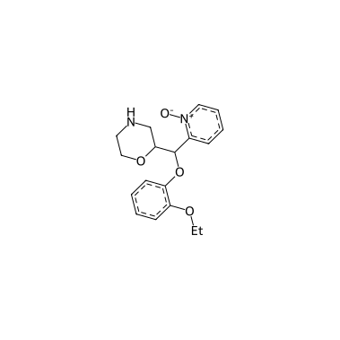 CCOc1ccccc1OC(c1cccc[n+]1[O-])C1CNCCO1